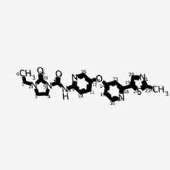 CCN1CCN(C(=O)Nc2ccc(Oc3ccnc(-c4cnc(C)s4)c3)cn2)C1=O